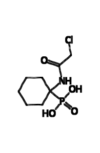 O=C(CCl)NC1(P(=O)(O)O)CCCCC1